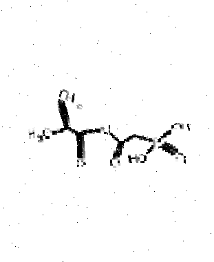 C=C(C)C(=O)OC(=O)CP(=O)(O)O